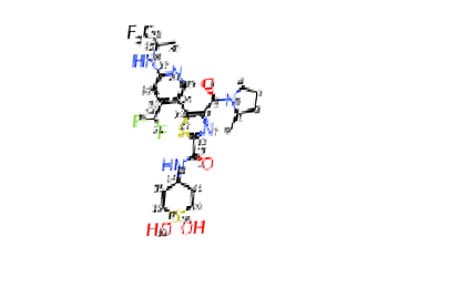 CC1CCCN1C(=O)c1nc(C(=O)NC2CCS(O)(O)CC2)sc1-c1cnc(NC(C)C(F)(F)F)cc1C(F)F